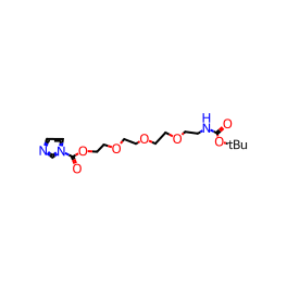 CC(C)(C)OC(=O)NCCOCCOCCOCCOC(=O)n1ccnc1